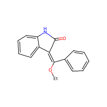 CCOC(=C1C(=O)Nc2ccccc21)c1ccccc1